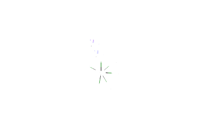 O.[Cl][Ru-2]([Cl])([Cl])([Cl])([Cl])[Cl].[NH4+].[NH4+]